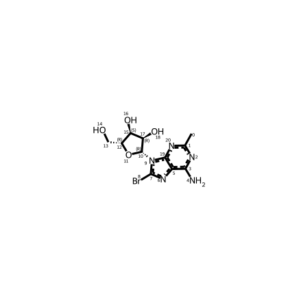 Cc1nc(N)c2nc(Br)n([C@@H]3O[C@H](CO)[C@@H](O)[C@H]3O)c2n1